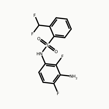 Nc1c(F)ccc(NS(=O)(=O)c2ccccc2C(F)F)c1F